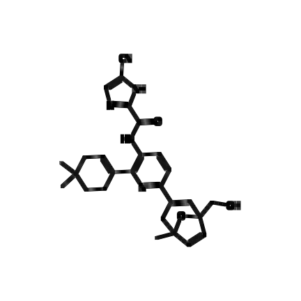 CC1(C)CC=C(c2nc(C3=CC4(CO)C=CC(C)(C3)O4)ccc2NC(=O)c2ncc(C#N)[nH]2)CC1